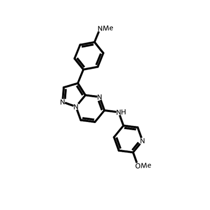 CNc1ccc(-c2cnn3ccc(Nc4ccc(OC)nc4)nc23)cc1